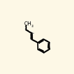 CC[C]=Cc1ccccc1